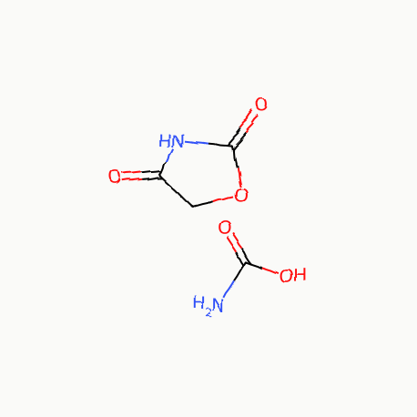 NC(=O)O.O=C1COC(=O)N1